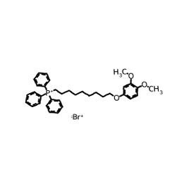 COc1ccc(OCCCCCCCCC[P+](c2ccccc2)(c2ccccc2)c2ccccc2)cc1OC.[Br+]